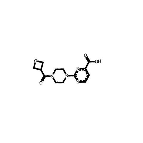 O=C(O)c1ccnc(N2CCN(C(=O)C3COC3)CC2)n1